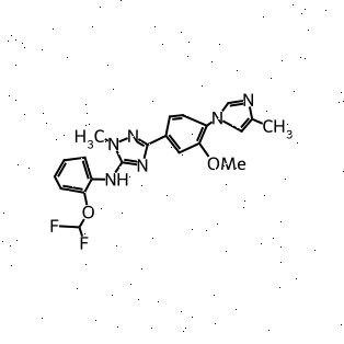 COc1cc(-c2nc(Nc3ccccc3OC(F)F)n(C)n2)ccc1-n1cnc(C)c1